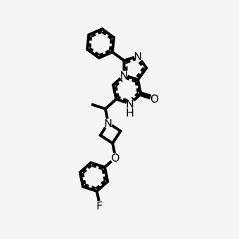 CC(c1cn2c(-c3ccccc3)ncc2c(=O)[nH]1)N1CC(Oc2cccc(F)c2)C1